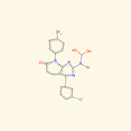 CCN(c1nc(-c2cccc(Cl)c2)c2ccc(=O)n(-c3ccc(C(F)(F)F)cc3)c2n1)C(O)O